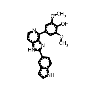 COc1cc(-c2nccc3[nH]c(-c4ccc5[nH]ccc5c4)nc23)cc(OC)c1O